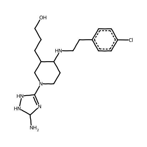 NC1N=C(N2CCC(NCCc3ccc(Cl)cc3)C(CCCO)C2)NN1